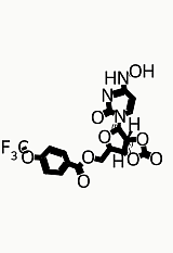 O=C1O[C@@H]2[C@H](O1)C(COC(=O)c1ccc(OC(F)(F)F)cc1)O[C@H]2n1ccc(NO)nc1=O